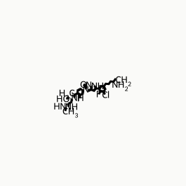 C=C[C@H](N)CCCc1cc(Cl)c(F)c(-c2cc3cn(-c4ccc([C@H](C)N[C@@H](CO)CCNC(C)=N)c(F)c4)c(=O)nc3[nH]2)c1